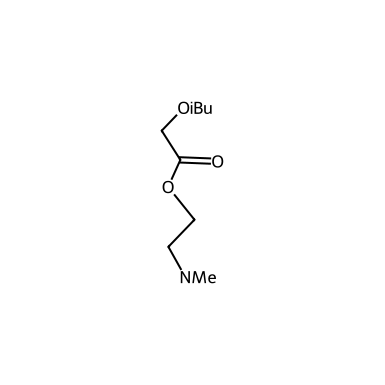 CNCCOC(=O)COCC(C)C